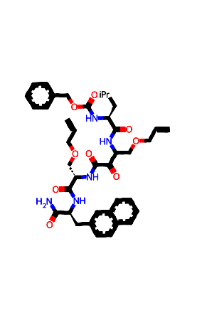 C=CCOCC(NC(=O)[C@H](CC(C)C)NC(=O)OCc1ccccc1)C(=O)C(=O)N[C@@H](COCC=C)C(=O)N[C@@H](Cc1ccc2ccccc2c1)C(N)=O